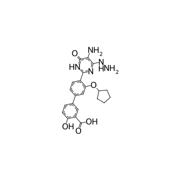 NNc1nc(-c2ccc(-c3ccc(O)c(C(=O)O)c3)cc2OC2CCCC2)[nH]c(=O)c1N